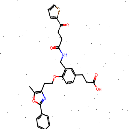 Cc1oc(-c2ccccc2)nc1CCOc1ccc(CCC(=O)O)cc1CNC(=O)CCC(=O)c1cccs1